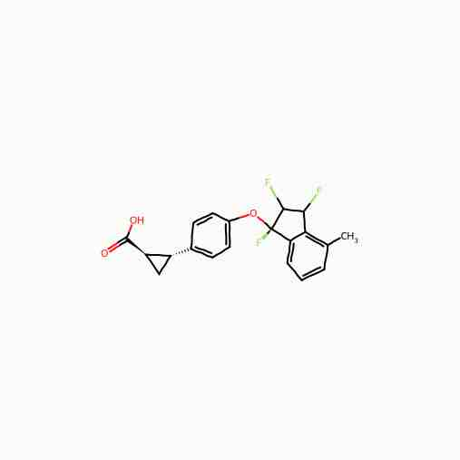 Cc1cccc2c1C(F)C(F)[C@@]2(F)Oc1ccc([C@@H]2C[C@H]2C(=O)O)cc1